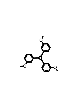 COc1cccc(C2C(c3cccc(OC)c3)C2c2cccc(OC)c2)c1